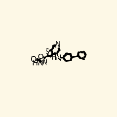 O=c1[nH]nc(-c2cc3c(Nc4ccc(-c5ccccc5)cc4)cncc3s2)o1